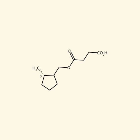 C[C@H]1CCCC1COC(=O)CCC(=O)O